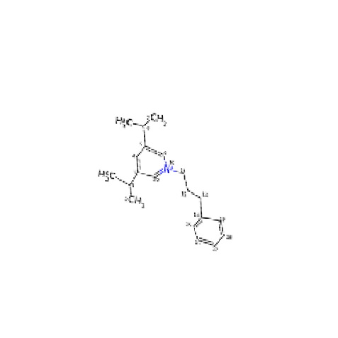 CC(C)c1cc(C(C)C)c[n+](CCCc2ccccc2)c1